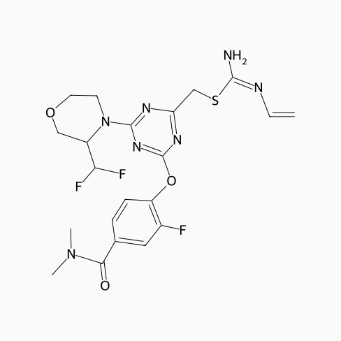 C=C/N=C(/N)SCc1nc(Oc2ccc(C(=O)N(C)C)cc2F)nc(N2CCOCC2C(F)F)n1